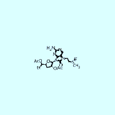 CCC(OC(C)=O)[C@@H]1C[C@@H](OC(C)=O)[C@H](n2c(=O)n(CC[S+](C)[O-])c3cnc(N)nc32)O1